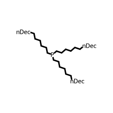 CCCCCCCCCCCCCCCCP(CCCCCCCCCCCCCCCC)CCCCCCCCCCCCCCCC